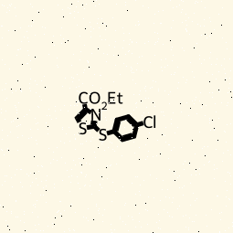 CCOC(=O)c1csc(Sc2ccc(Cl)cc2)n1